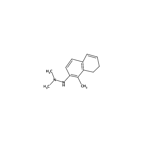 Cc1c(NN(C)C)ccc2c1CCC=C2